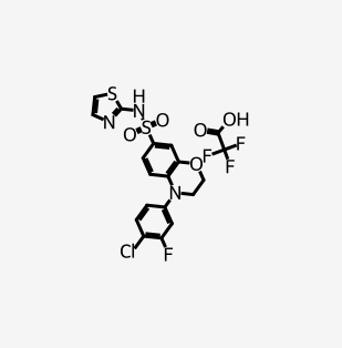 O=C(O)C(F)(F)F.O=S(=O)(Nc1nccs1)c1ccc2c(c1)OCCN2c1ccc(Cl)c(F)c1